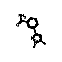 Cc1cc(-c2cccc(C(N)=O)c2)nn1C